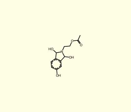 CC(=O)OCCN1C(O)c2ccc(O)cc2C1O